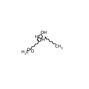 CCCCCCC=C[C@@H]1[C@H]2CC(CCCCC(=O)OC)=C[C@H]2C[C@H]1O